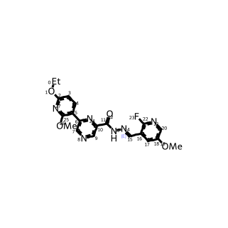 CCOc1ccc(-c2cncc(C(=O)N/N=C/c3cc(OC)cnc3F)n2)c(OC)n1